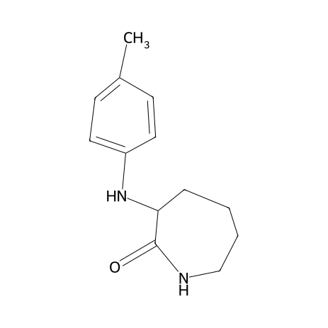 Cc1ccc(NC2CCCCNC2=O)cc1